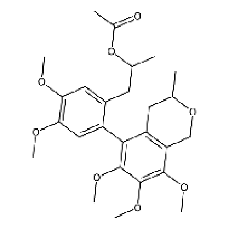 COc1cc(CC(C)OC(C)=O)c(-c2c3c(c(OC)c(OC)c2OC)COC(C)C3)cc1OC